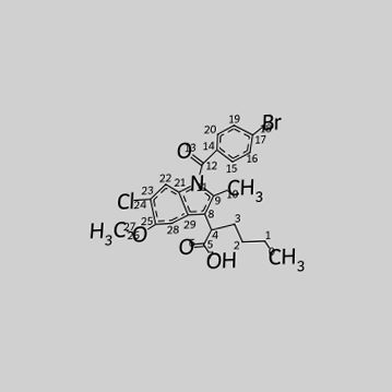 CCCCC(C(=O)O)c1c(C)n(C(=O)c2ccc(Br)cc2)c2cc(Cl)c(OC)cc12